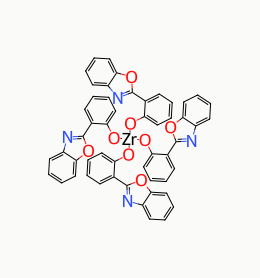 c1ccc(-c2nc3ccccc3o2)c([O][Zr]([O]c2ccccc2-c2nc3ccccc3o2)([O]c2ccccc2-c2nc3ccccc3o2)[O]c2ccccc2-c2nc3ccccc3o2)c1